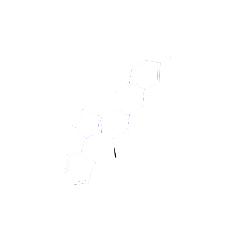 C[C@H](NC(=O)Nc1cc(Br)ccc1Br)c1ncnn1-c1ncccn1